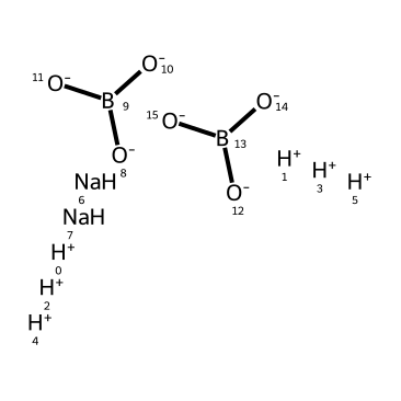 [H+].[H+].[H+].[H+].[H+].[H+].[NaH].[NaH].[O-]B([O-])[O-].[O-]B([O-])[O-]